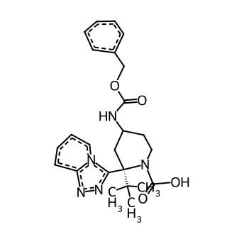 CC(C)(C)[C@]1(c2nnc3ccccn23)CC(NC(=O)OCc2ccccc2)CCN1C(=O)O